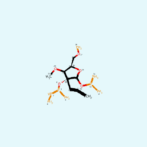 C=C=C[C@]1(OP(P)PP)C(OP(P)P)O[C@H](COP)C1OC